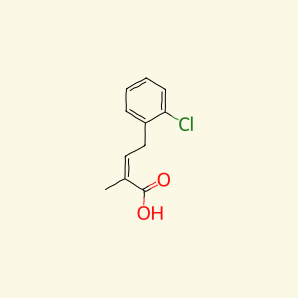 CC(=CCc1ccccc1Cl)C(=O)O